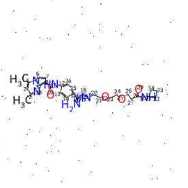 Cc1cc(C)n2ccc(C(=O)Nc3ccc(/C(N)=C/NCCOCCOCCC(=O)NC4CCC4)cc3)c2n1